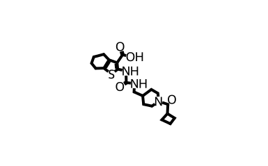 O=C(NCC1CCN(C(=O)C2CCC2)CC1)Nc1sc2c(c1C(=O)O)CCCC2